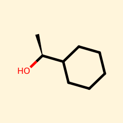 C[C@H](O)C1CCCCC1